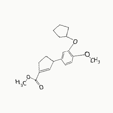 COC(=O)C1=CC(c2ccc(OC)c(OC3CCCC3)c2)CC1